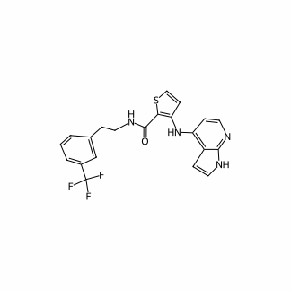 O=C(NCCc1cccc(C(F)(F)F)c1)c1sccc1Nc1ccnc2[nH]ccc12